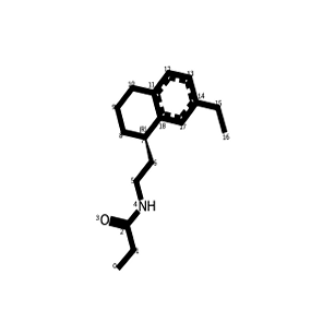 CCC(=O)NCC[C@H]1CCCc2ccc(CC)cc21